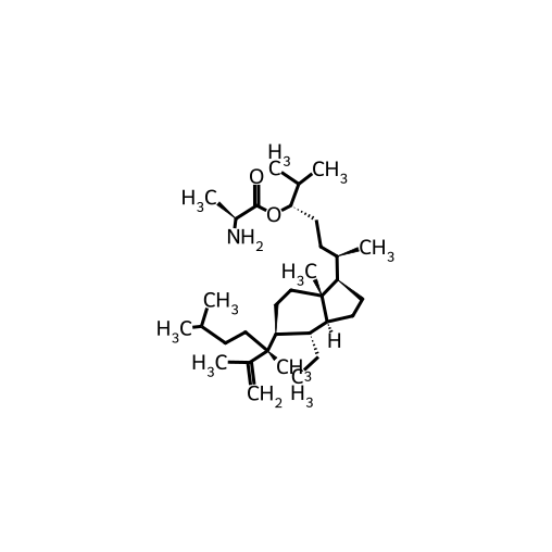 C=C(C)[C@](C)(CCC(C)C)[C@H]1CC[C@]2(C)[C@@H]([C@H](C)CC[C@H](OC(=O)[C@H](C)N)C(C)C)CC[C@H]2[C@@H]1CC